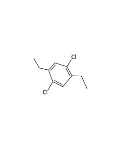 CCc1cc(Cl)c(CC)cc1Cl